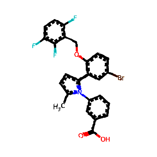 Cc1ccc(-c2cc(Br)ccc2OCc2c(F)ccc(F)c2F)n1-c1cccc(C(=O)O)c1